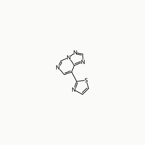 c1csc(-c2cncn3ncnc23)n1